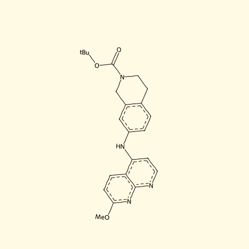 COc1ccc2c(Nc3ccc4c(c3)CN(C(=O)OC(C)(C)C)CC4)ccnc2n1